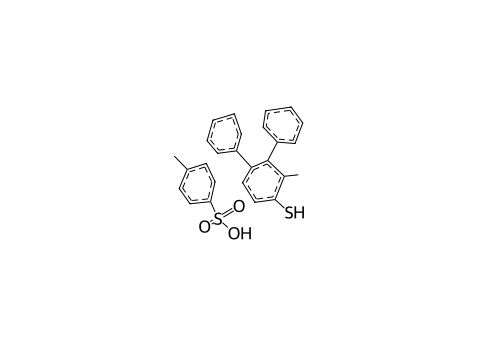 Cc1c(S)ccc(-c2ccccc2)c1-c1ccccc1.Cc1ccc(S(=O)(=O)O)cc1